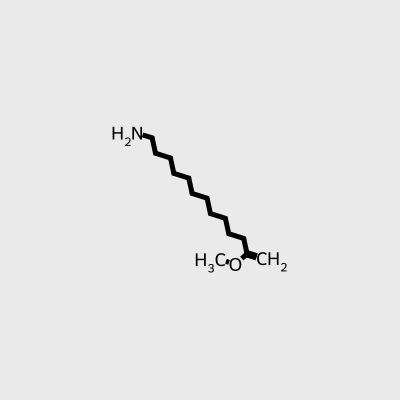 C=C(CCCCCCCCCCCN)OC